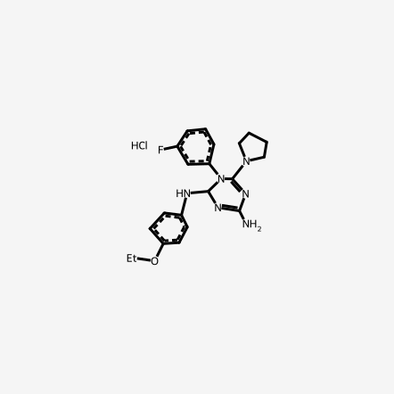 CCOc1ccc(NC2N=C(N)N=C(N3CCCC3)N2c2cccc(F)c2)cc1.Cl